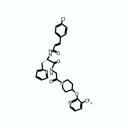 O=C(C=Cc1ccc(Cl)cc1)N[C@@H](Cc1ccccn1)C(=O)NCC(=O)N1CCC(Oc2ncccc2C(F)(F)F)CC1